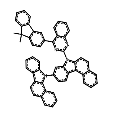 CC1(C)c2ccccc2-c2cc(-c3nc(-n4c5cc(-n6c7ccccc7c7ccc8ccccc8c76)ccc5c5c6ccccc6ccc54)nc4ccccc34)ccc21